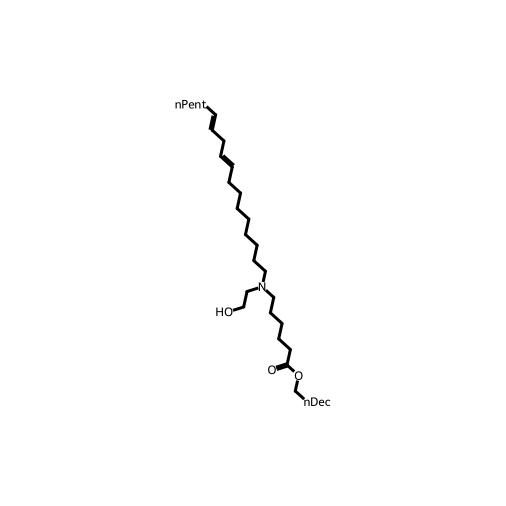 CCCCC/C=C/C/C=C/CCCCCCCCN(CCO)CCCCCC(=O)OCCCCCCCCCCC